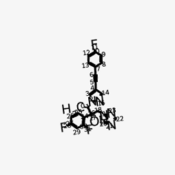 C[C@@H](n1cc(C#Cc2ccc(F)cc2)cn1)[C@](O)(Cn1cncn1)c1ccc(F)cc1F